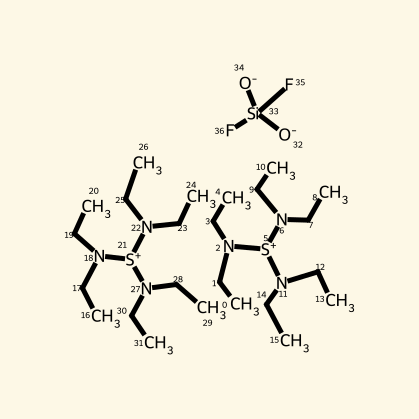 CCN(CC)[S+](N(CC)CC)N(CC)CC.CCN(CC)[S+](N(CC)CC)N(CC)CC.[O-][Si]([O-])(F)F